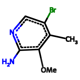 COc1c(N)ncc(Br)c1C